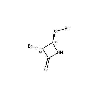 CC(=O)S[C@H]1NC(=O)[C@@H]1Br